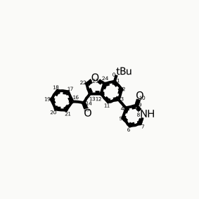 CC(C)(C)c1cc(-c2ccc[nH]c2=O)cc2c(C(=O)c3ccccc3)coc12